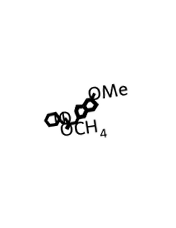 C.COc1ccc2cc(CC(=O)ON3CCCCC3)ccc2c1